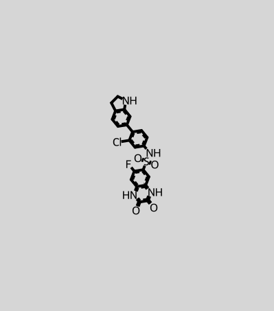 O=c1[nH]c2cc(F)c(S(=O)(=O)Nc3ccc(-c4ccc5c(c4)NCC5)c(Cl)c3)cc2[nH]c1=O